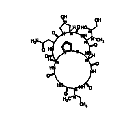 CC[C@H](C)[C@@H]1NC(=O)CNC(=O)[C@@H]2CSc3c4ccccc4cn3C[C@H](NC(=O)CNC1=O)C(=O)NC(CC(N)=O)C(=O)N1C[C@H](O)C[C@H]1C(=O)N[C@@H]([C@@H](C)[C@@H](O)CO)C(=O)N2